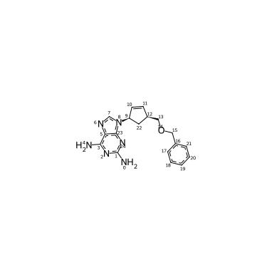 Nc1nc(N)c2ncn([C@H]3C=C[C@@H](COCc4ccccc4)C3)c2n1